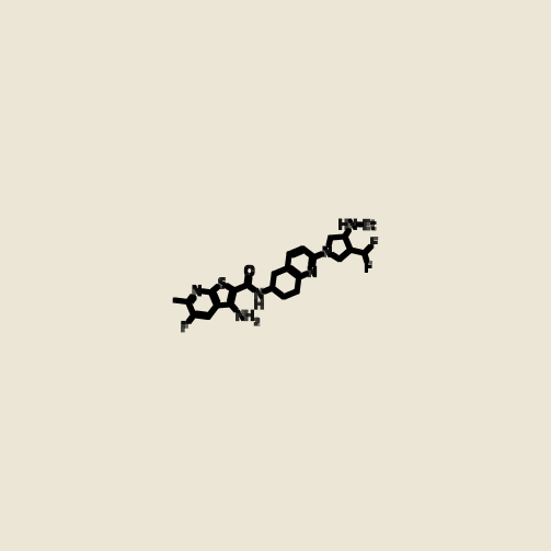 CCNC1CN(c2ccc3c(n2)CCC(NC(=O)c2sc4nc(C)c(F)cc4c2N)C3)CC1C(F)F